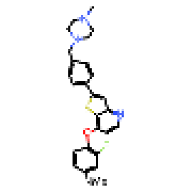 CNc1ccc(Oc2ccnc3cc(-c4ccc(CN5CCN(C)CC5)cc4)sc23)c(F)c1